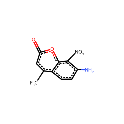 Nc1ccc2c(C(F)(F)F)cc(=O)oc2c1[N+](=O)[O-]